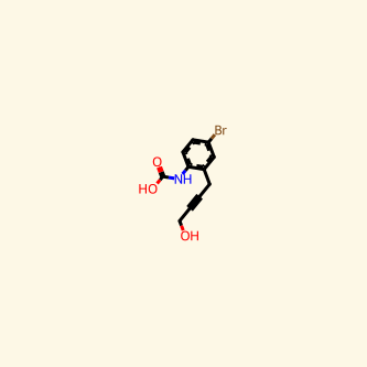 O=C(O)Nc1ccc(Br)cc1CC#CCO